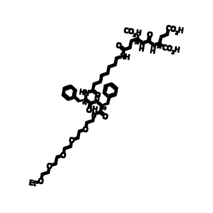 CCOCCOCCOCCOCCOCCNC(=O)[C@H](Cc1ccccc1)NC(=O)[C@H](Cc1ccccc1)NC(=O)CCCCCCCNC(=O)CC[C@H](NC(=O)N[C@@H](CCC(=O)O)C(=O)O)C(=O)O